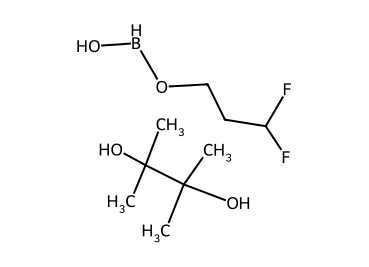 CC(C)(O)C(C)(C)O.OBOCCC(F)F